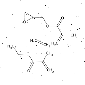 C=C.C=C(C)C(=O)OCC.C=C(C)C(=O)OCC1CO1